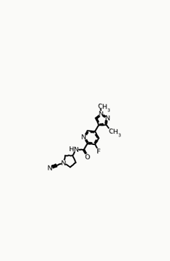 Cc1nn(C)cc1-c1cnc(C(=O)NC2CCN(C#N)C2)c(F)c1